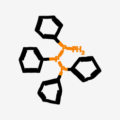 PP(c1ccccc1)P(c1ccccc1)P(c1ccccc1)c1ccccc1